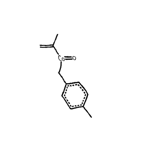 C=[C](C)[Co](=[O])[CH2]c1ccc(C)cc1